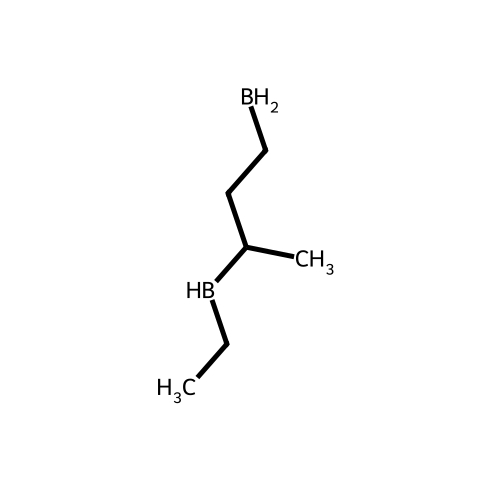 BCCC(C)BCC